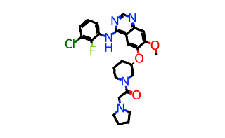 COc1cc2ncnc(Nc3cccc(Cl)c3F)c2cc1O[C@H]1CCCN(C(=O)CN2CCCC2)C1